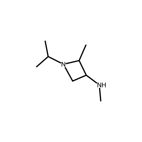 CNC1CN(C(C)C)C1C